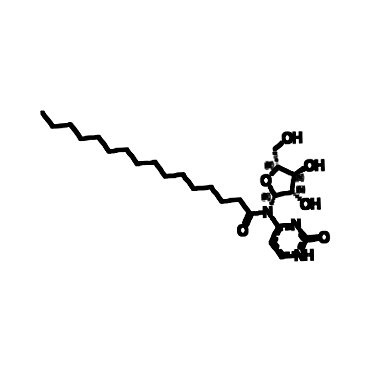 CCCCCCCCCCCCCCCC(=O)N(c1cc[nH]c(=O)n1)[C@@H]1O[C@H](CO)[C@@H](O)[C@@H]1O